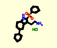 Cl.NCCc1c(S(=O)(=O)c2ccccc2)[nH]c2ccc(-c3ccccc3)cc12